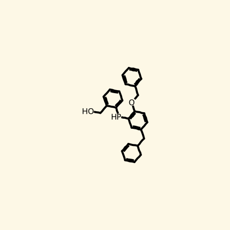 OCc1ccccc1Pc1cc(CC2C=CC=CC2)ccc1OCc1ccccc1